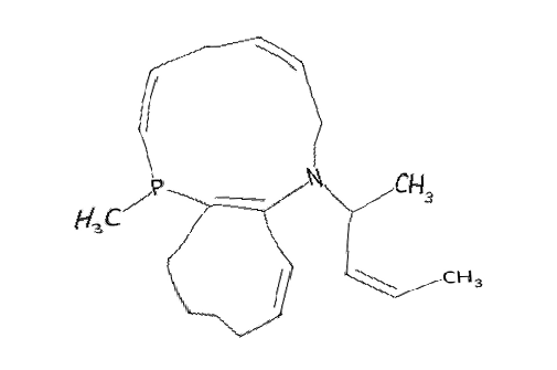 C/C=C\C(C)N1CC=CC/C=C\P(C)C2=C1C=CCCC2